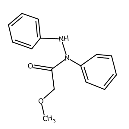 COCC(=O)N(Nc1ccccc1)c1ccccc1